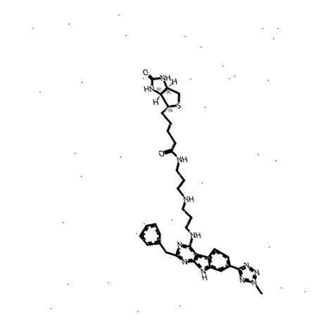 Cn1nnc(-c2ccc3c(c2)[nH]c2nc(Cc4ccccc4)nc(NCCCNCCCNC(=O)CCCC[C@@H]4SC[C@@H]5NC(=O)N[C@@H]54)c23)n1